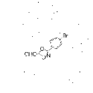 O=CC1ON=C(c2ccc(Br)cc2)O1